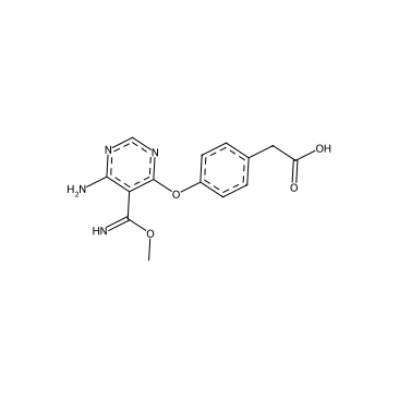 COC(=N)c1c(N)ncnc1Oc1ccc(CC(=O)O)cc1